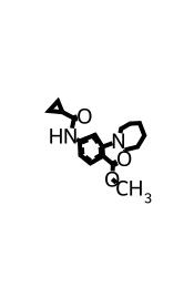 COC(=O)c1ccc(NC(=O)C2CC2)cc1N1CCCCCC1